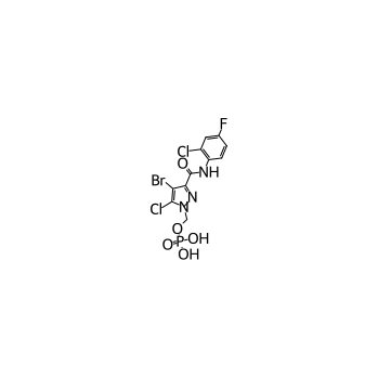 O=C(Nc1ccc(F)cc1Cl)c1nn(COP(=O)(O)O)c(Cl)c1Br